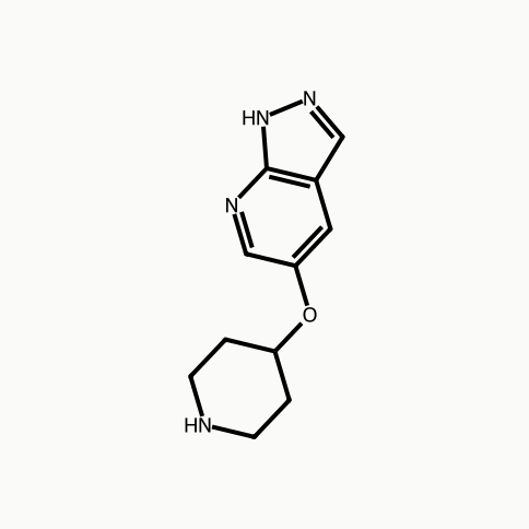 c1nc2[nH]ncc2cc1OC1CCNCC1